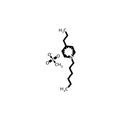 CCCCCC[n+]1ccc(CCC)cc1.CS(=O)(=O)[O-]